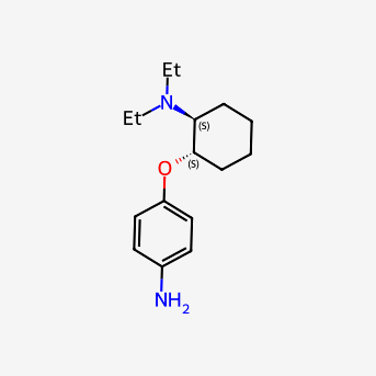 CCN(CC)[C@H]1CCCC[C@@H]1Oc1ccc(N)cc1